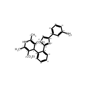 CCOC(=O)C1=C(C)NC(C)=C(C(=O)OCC)C1c1ccccc1-c1nc(-c2cccc(N)c2)cs1